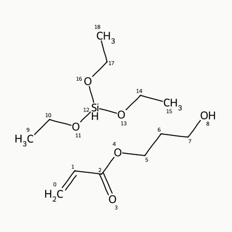 C=CC(=O)OCCCO.CCO[SiH](OCC)OCC